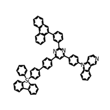 c1ccc([Si]2(c3ccc(-c4ccc(-c5cc(-c6ccc(-n7c8ccccc8c8cnccc87)cc6)nc(-c6cccc(-c7cc8ccccc8c8ccccc78)c6)n5)cc4)cc3)c3ccccc3-c3ccccc32)cc1